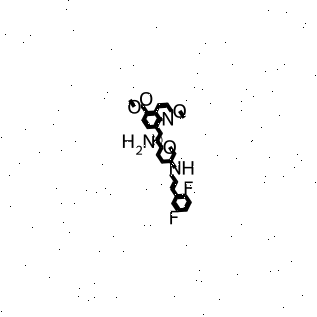 COC(=O)c1ccc(C[C@H](N)C2CCC(NCC=Cc3cc(F)ccc3F)CO2)c2nc(OC)ccc12